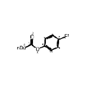 CCCCC(=O)Oc1ccc(F)cc1